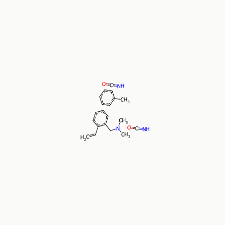 C=Cc1ccccc1CN(C)C.Cc1ccccc1.N=C=O.N=C=O